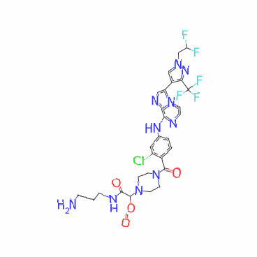 NCCCNC(=O)C(OC=O)N1CCN(C(=O)c2ccc(Nc3nccn4c(-c5cn(CC(F)F)nc5C(F)(F)F)cnc34)cc2Cl)CC1